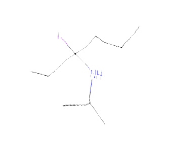 CCCC(I)(CC)NC(C)C